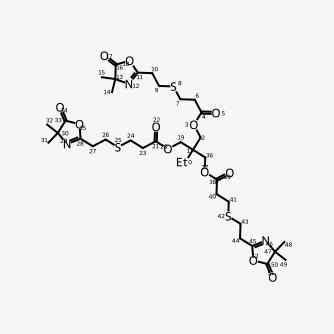 CCC(COC(=O)CCSCCC1=NC(C)(C)C(=O)O1)(COC(=O)CCSCCC1=NC(C)(C)C(=O)O1)COC(=O)CCSCCC1=NC(C)(C)C(=O)O1